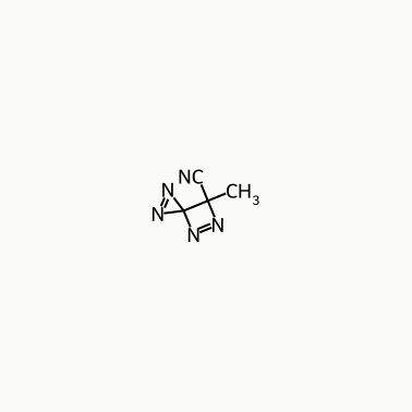 CC1(C#N)N=NC12N=N2